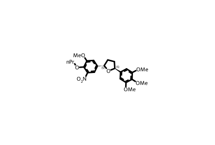 CCCOc1c(OC)cc([C@@H]2CC[C@@H](c3cc(OC)c(OC)c(OC)c3)O2)cc1[N+](=O)[O-]